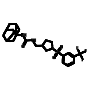 O=C(NCC1CCN(S(=O)(=O)c2cccc(C(F)(F)F)c2)C1)NC12CC3CC(CC(C3)C1)C2